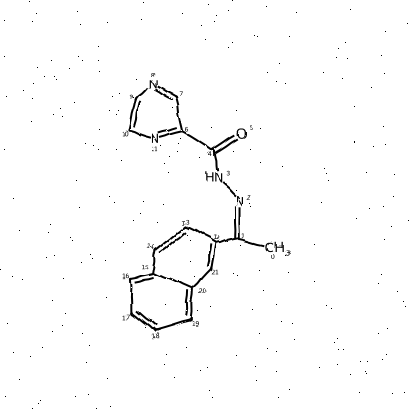 C/C(=N/NC(=O)c1cnccn1)c1ccc2ccccc2c1